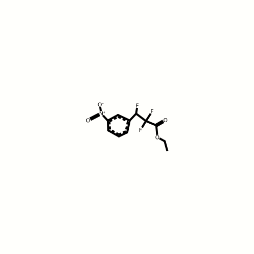 CCOC(=O)C(F)(F)C(F)c1cccc([N+](=O)[O-])c1